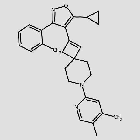 Cc1cnc(N2CCC3(C=C(c4c(-c5ccccc5C(F)(F)F)noc4C4CC4)C3)CC2)cc1C(F)(F)F